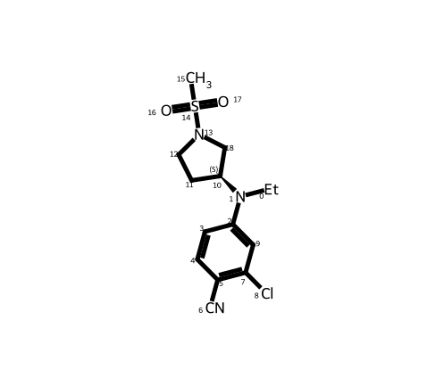 CCN(c1ccc(C#N)c(Cl)c1)[C@H]1CCN(S(C)(=O)=O)C1